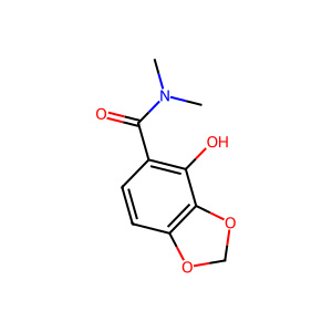 CN(C)C(=O)c1ccc2c(c1O)OCO2